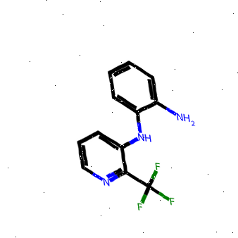 Nc1ccccc1Nc1cccnc1C(F)(F)F